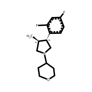 C[C@@H]1CN(C2CCOCC2)C[C@H]1c1ccc(F)cc1F